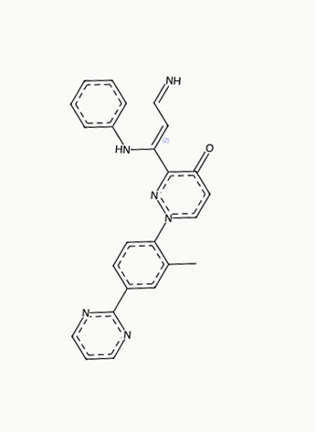 Cc1cc(-c2ncccn2)ccc1-n1ccc(=O)c(/C(=C/C=N)Nc2ccccc2)n1